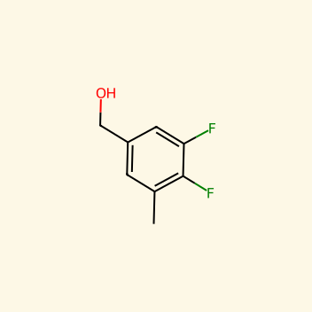 Cc1cc(CO)cc(F)c1F